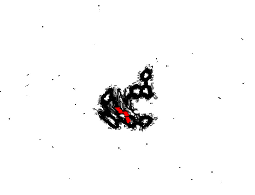 c1ccc(-c2cccc3cc(-c4nc(-c5ccccc5-n5c6ccccc6c6ccccc65)nc(-c5cccc6c5sc5ccccc56)n4)ccc23)cc1